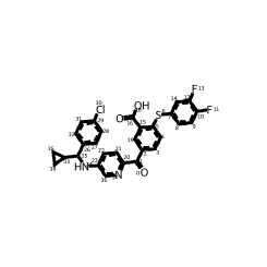 O=C(c1ccc(Sc2ccc(F)c(F)c2)c(C(=O)O)c1)c1ccc(NC(c2ccc(Cl)cc2)C2CC2)cn1